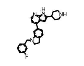 Fc1cccc(CN2CCc3ccc(-c4ccnc5[nH]c(C6CCNCC6)cc45)cc32)c1